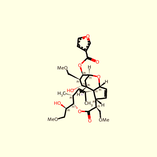 COC[C@@H]1[C@@H](O)[C@@H]2C[C@H](O[C@@H]3C=C[C@@H]4[C@@H](COC)C(=O)O[C@H]([C@H](O)COC)[C@H](C)/C=C(\C)[C@@]432)[C@@H]1OC(=O)c1ccoc1